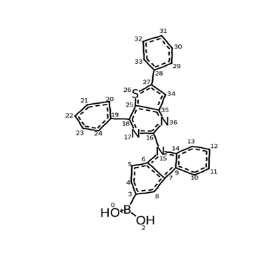 OB(O)c1ccc2c(c1)c1ccccc1n2-c1nc(-c2ccccc2)c2sc(-c3ccccc3)cc2n1